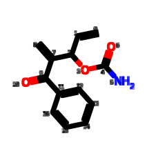 C=CC(OC(N)=O)C(=C)C(=O)c1ccccc1